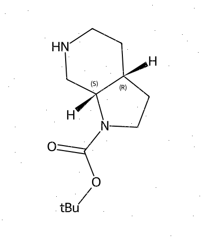 CC(C)(C)OC(=O)N1CC[C@H]2CCNC[C@H]21